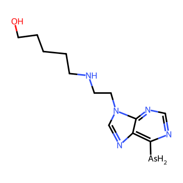 OCCCCCNCCn1cnc2c([AsH2])ncnc21